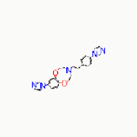 c1cn(-c2ccc(CCN3CCOc4ccc(-n5ccnc5)cc4OCC3)cc2)cn1